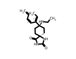 C=C/C=C\C(=C/C)[C@]1(NCC)CC[C@]2(CC1)NC(=O)NC2=O